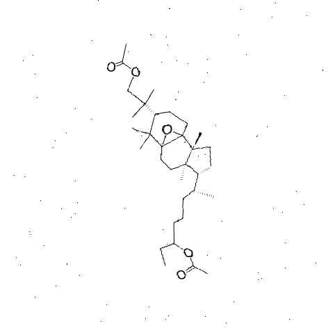 CCC(CCC[C@@H](C)[C@H]1CC[C@@]2(C)C34CC[C@@H](C(C)(C)COC(C)=O)C(C)(C)C3(CC[C@]12C)O4)OC(C)=O